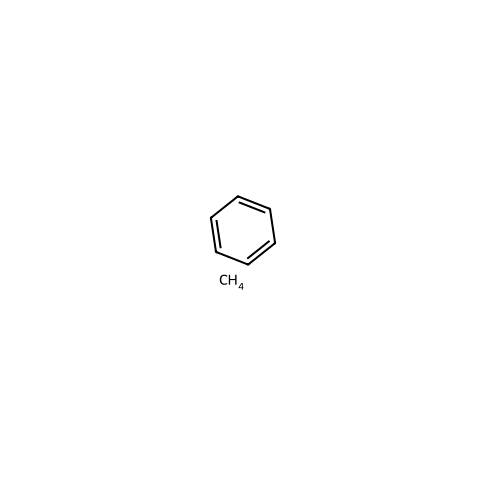 C.c1ccccc1